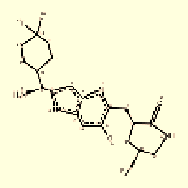 N[C@H](c1cn2nc(C[C@@H]3C[C@H](C(F)(F)F)CNC3=O)c(Cl)cc2n1)C1CCC(F)(F)CC1